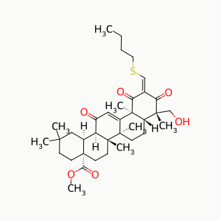 CCCCS/C=C1\C(=O)[C@]2(C)C3=CC(=O)[C@@H]4[C@@H]5CC(C)(C)CC[C@]5(C(=O)OC)CC[C@@]4(C)[C@]3(C)CC[C@H]2[C@@](C)(CO)C1=O